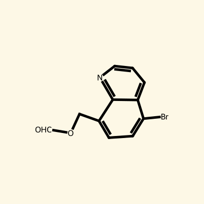 O=COCc1ccc(Br)c2cccnc12